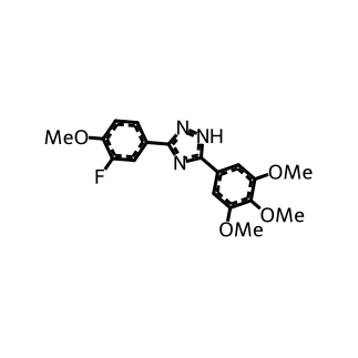 COc1ccc(-c2n[nH]c(-c3cc(OC)c(OC)c(OC)c3)n2)cc1F